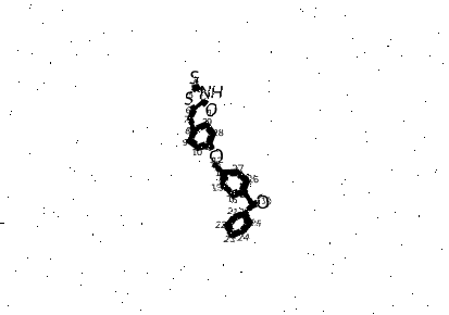 O=C1NC(=S)S/C1=C/c1ccc(OCc2ccc(C(=O)c3ccccc3)cc2)cc1